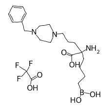 NC(CCCCB(O)O)(CCCN1CCN(Cc2ccccc2)CC1)C(=O)O.O=C(O)C(F)(F)F